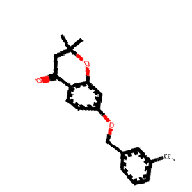 CC1(C)CC(=O)c2ccc(OCc3cccc(C(F)(F)F)c3)cc2O1